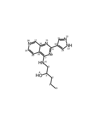 CCCC(O)CNc1nc(-c2cn[nH]c2)nc2cnccc12